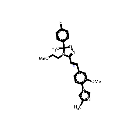 COCCN1C(/C=C/c2ccc(-n3cnc(C)c3)c(OC)c2)=NOC1(C)c1ccc(F)cc1